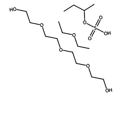 CCC(C)OS(=O)(=O)O.CCOCC.OCCOCCOCCOCCO